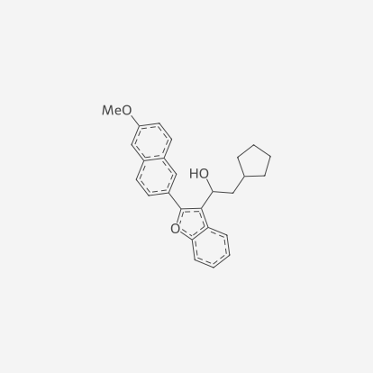 COc1ccc2cc(-c3oc4ccccc4c3C(O)CC3CCCC3)ccc2c1